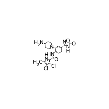 Cc1[nH]c(C(=O)Nc2ccc(-c3noc(=O)[nH]3)cc2N2CCC(N)CC2)c(Cl)c1Cl